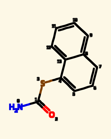 NC(=O)Sc1cccc2ccccc12